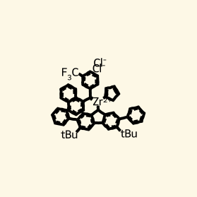 CC(C)(C)c1cc2c(cc1-c1ccccc1)[CH](/[Zr+2]([C]1=CC=CC1)=[C](/c1cccc(C(F)(F)F)c1)c1cccc3ccccc13)c1cc(-c3ccccc3)c(C(C)(C)C)cc1-2.[Cl-].[Cl-]